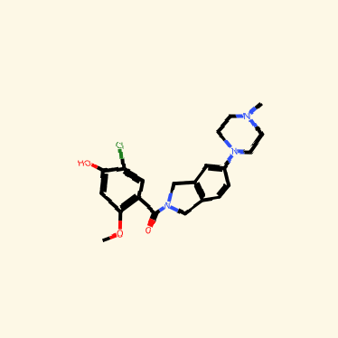 COc1cc(O)c(Cl)cc1C(=O)N1Cc2ccc(N3CCN(C)CC3)cc2C1